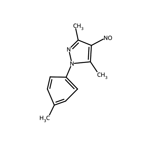 Cc1ccc(-n2nc(C)c(N=O)c2C)cc1